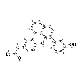 CCC(=O)Oc1ccc(Oc2c(-c3cccc(O)c3)ccc3ccccc23)cc1